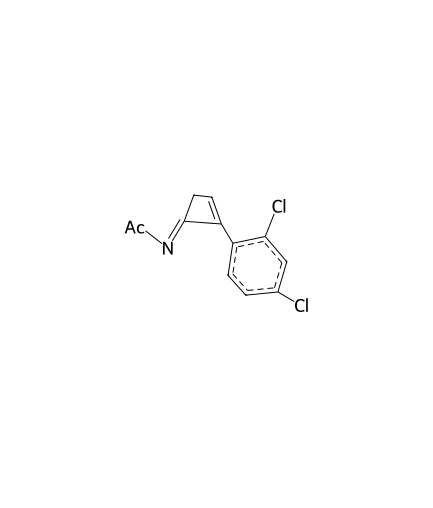 CC(=O)N=C1CC=C1c1ccc(Cl)cc1Cl